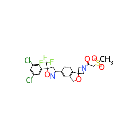 CS(=O)(=O)CC(=O)N1CC2(C1)OCc1cc(C3=NO[C@@](c4cc(Cl)cc(Cl)c4)(C(F)(F)F)C3)ccc12